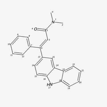 CN(C)C(=O)C=C(c1ccccc1)c1ccc2[nH]c3ccccc3c2c1